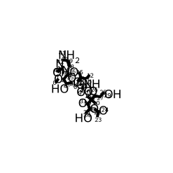 COC1C(O)[C@@H](COP(=O)(NC(C)C(=O)CO)OCC(COC(C)=O)(C(=O)CCO)C(=O)CCO)O[C@H]1n1ccc(N)nc1=O